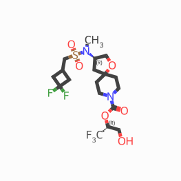 CN([C@H]1COC2(CCN(C(=O)O[C@H](CO)C(F)(F)F)CC2)C1)S(=O)(=O)CC1CC(F)(F)C1